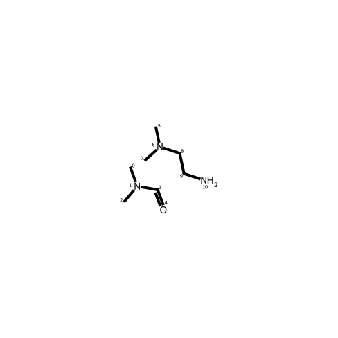 CN(C)C=O.CN(C)CCN